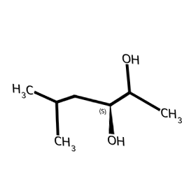 CC(C)C[C@H](O)C(C)O